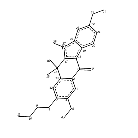 C=C1c2cc(CC)c(CCCC)cc2C(C)(C)c2c1c1ccc(CC)cc1n2C